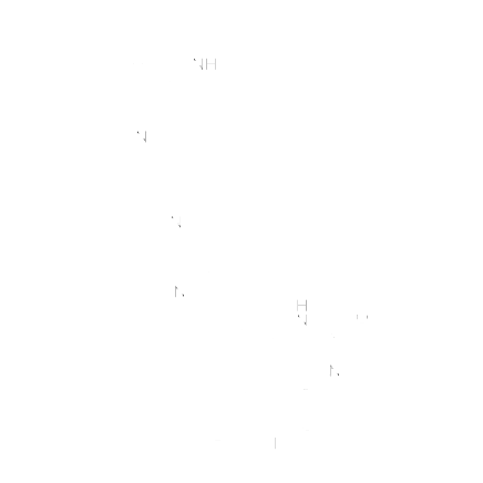 CCn1c(=O)[nH]c2cc(CN3CCN(c4ccc(C(=O)NC)nc4C)CC3)cc(C(F)F)c2c1=O